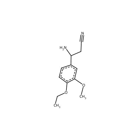 CCOc1ccc(C(N)CC#N)cc1OC